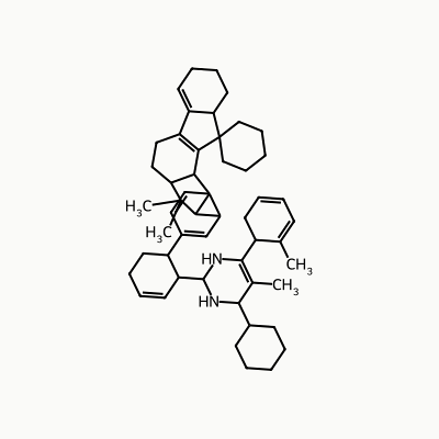 CC1=CC=CCC1C1=C(C)C(C2CCCCC2)NC(C2C=CCCC2C2=CC3C4C(C)(C)C5CCC6=C(C5C34C=C2)C2(CCCCC2)C2CCCC=C62)N1